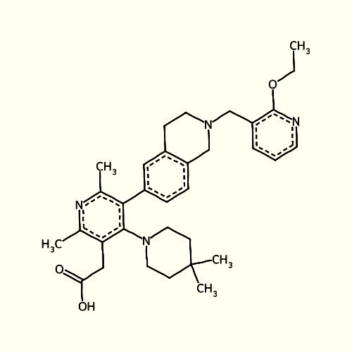 CCOc1ncccc1CN1CCc2cc(-c3c(C)nc(C)c(CC(=O)O)c3N3CCC(C)(C)CC3)ccc2C1